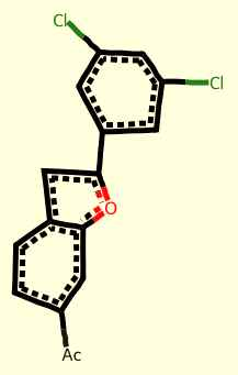 CC(=O)c1ccc2cc(-c3cc(Cl)cc(Cl)c3)oc2c1